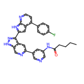 CCCCC(=O)Nc1cncc(-c2cc3c(-c4cc5c(-c6ccc(F)cc6)ccnc5[nH]4)n[nH]c3cn2)c1